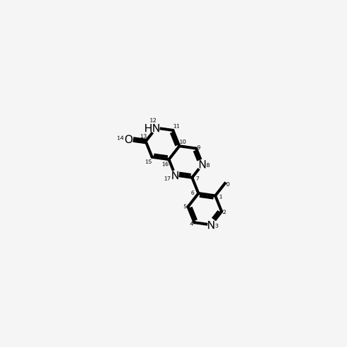 Cc1cnccc1-c1ncc2c[nH]c(=O)cc2n1